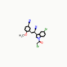 COc1ccc(C#N)cc1/C=C(\C#N)c1cn(C(=O)CBr)c2ccc(Br)cc12